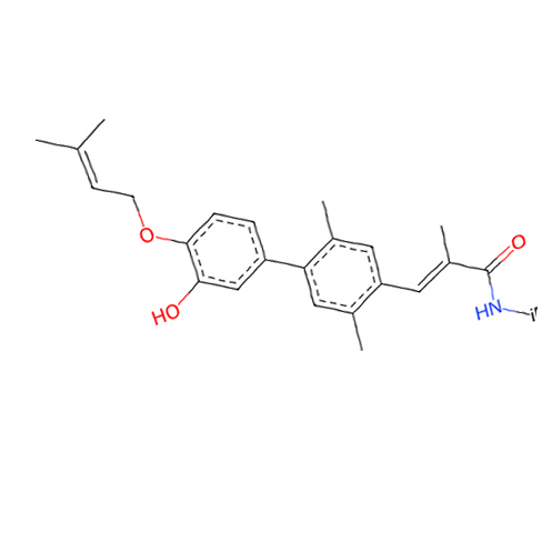 CC(C)=CCOc1ccc(-c2cc(C)c(/C=C(\C)C(=O)NC(C)C)cc2C)cc1O